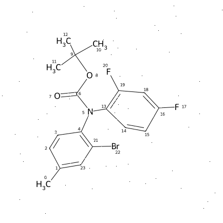 Cc1ccc(N(C(=O)OC(C)(C)C)c2ccc(F)cc2F)c(Br)c1